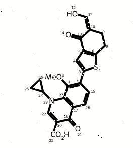 COc1c(-c2cc3c(s2)CC/C(=C/O)C3=O)ccc2c(=O)c(C(=O)O)cn(C3CC3)c12